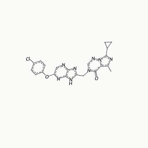 Cc1nc(C2CC2)n2ncn(Cc3nc4ncc(Oc5ccc(Cl)cc5)nc4[nH]3)c(=O)c12